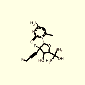 BC(B)(O)C1O[C@@H](n2c(C)cc(N)nc2=O)[C@@](F)(C#CCF)C1O